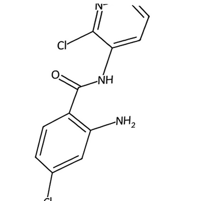 Nc1cc(Cl)ccc1C(=O)Nc1cccnc1Cl